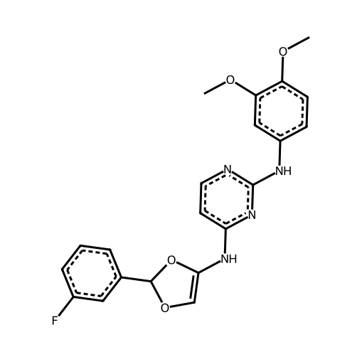 COc1ccc(Nc2nccc(NC3=COC(c4cccc(F)c4)O3)n2)cc1OC